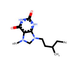 CCCN1CN(CCC(C)CC(C)=O)c2[nH]c(=O)[nH]c(=O)c21